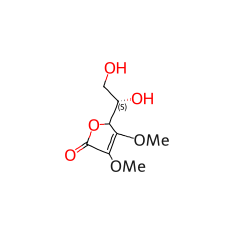 COC1=C(OC)C([C@@H](O)CO)OC1=O